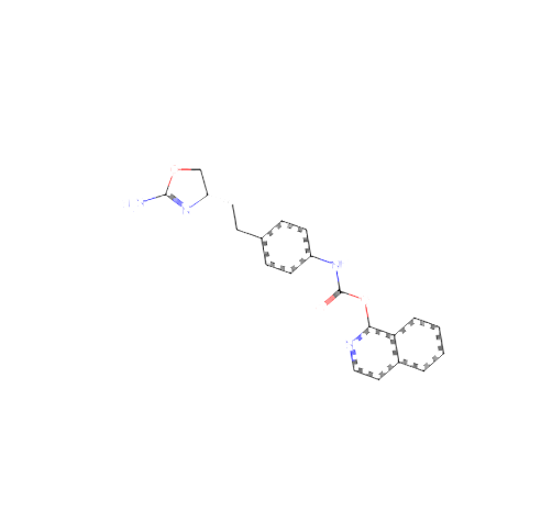 NC1=N[C@@H](CCc2ccc(NC(=O)Oc3nccc4ccccc34)cc2)CO1